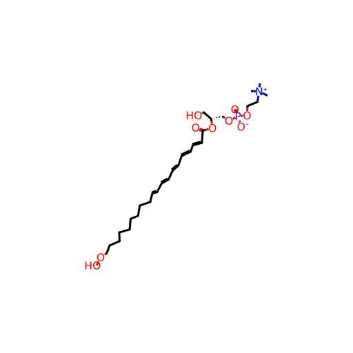 C[N+](C)(C)CCOP(=O)([O-])OC[C@@H](CO)OC(=O)C=CC=CC=CC=CC=CCCCCCCCCCOO